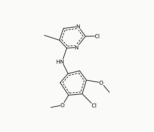 COc1cc(Nc2nc(Cl)ncc2C)cc(OC)c1Cl